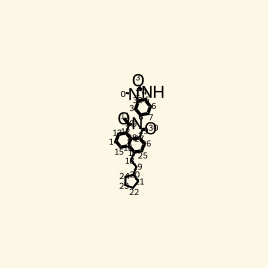 Cn1c(=O)[nH]c2ccc(N3C(=O)c4cccc5c(CCC6CCCC6)ccc(c45)C3=O)cc21